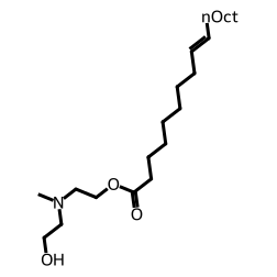 CCCCCCCCC=CCCCCCCCC(=O)OCCN(C)CCO